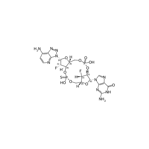 Nc1nc2c(ncn2[C@@H]2O[C@@H]3COP(O)(=S)O[C@H]4[C@H](F)[C@H](n5nnc6c(N)ccnc65)O[C@@H]4COP(=O)(O)O[C@@H]2[C@H]3F)c(=O)[nH]1